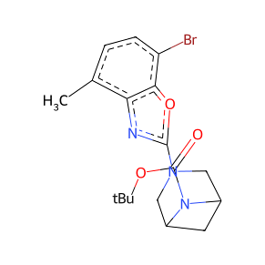 Cc1ccc(Br)c2oc(N3CC4CC(C3)N4C(=O)OC(C)(C)C)nc12